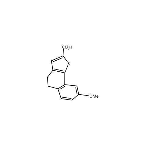 COc1ccc2c(c1)-c1sc(C(=O)O)cc1CC2